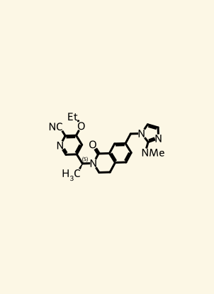 CCOc1cc([C@H](C)N2CCc3ccc(Cn4ccnc4NC)cc3C2=O)cnc1C#N